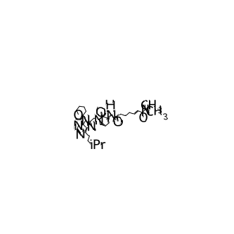 CC(C)CCc1ncnc2c1nc(Cn1cccc(NC(=O)CCC/C=C/C(=O)N(C)C)c1=O)n2C1CCCCO1